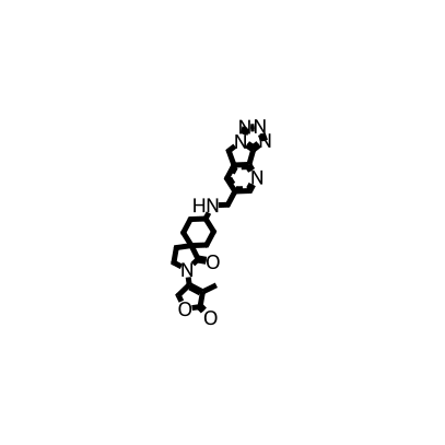 CC1=C(N2CCC3(CCC(NCc4cnc5c(c4)Cn4nnnc4-5)CC3)C2=O)COC1=O